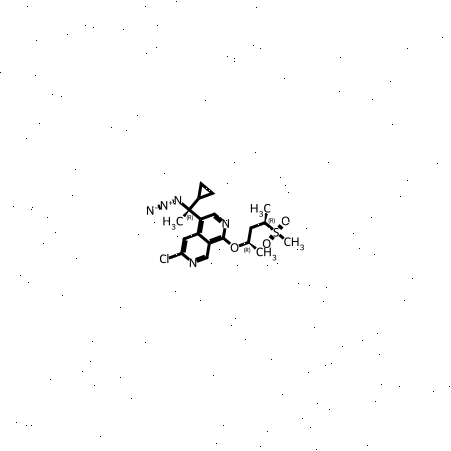 C[C@H](C[C@@H](C)S(C)(=O)=O)Oc1ncc([C@](C)(N=[N+]=[N-])C2CC2)c2cc(Cl)ncc12